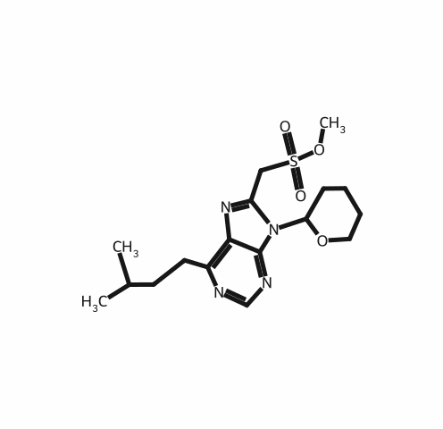 COS(=O)(=O)Cc1nc2c(CCC(C)C)ncnc2n1C1CCCCO1